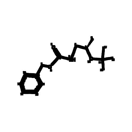 C[C@@H](CNC(=O)OCc1ccccc1)OC(C)(C)C